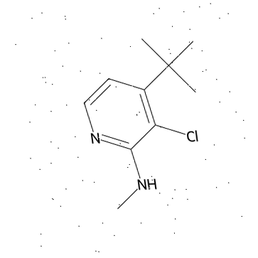 CNc1nccc(C(C)(C)C)c1Cl